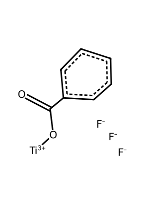 O=C([O][Ti+3])c1ccccc1.[F-].[F-].[F-]